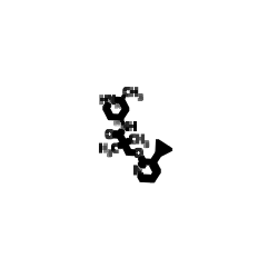 C[C@@H]1C[C@H](NC(=O)C(C)(C)COc2ncccc2C2CC2)CCN1